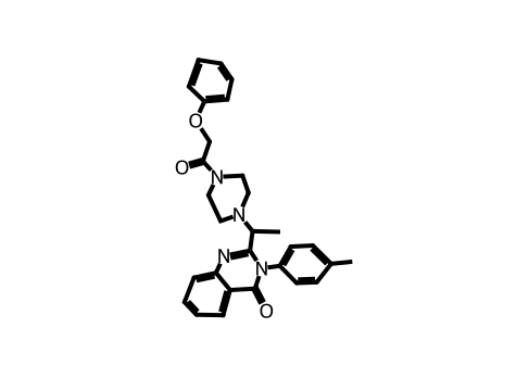 Cc1ccc(-n2c(C(C)N3CCN(C(=O)COc4ccccc4)CC3)nc3ccccc3c2=O)cc1